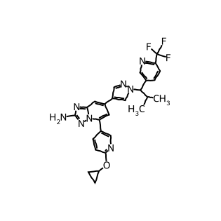 CC(C)C(c1ccc(C(F)(F)F)nc1)n1cc(-c2cc(-c3ccc(OC4CC4)nc3)n3nc(N)nc3c2)cn1